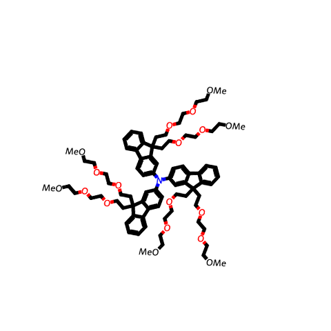 COCCOCCOCCC1(CCOCCOCCOC)c2ccccc2-c2ccc(N(c3ccc4c(c3)C(CCOCCOCCOC)(CCOCCOCCOC)c3ccccc3-4)c3ccc4c(c3)C(CCOCCOCCOC)(CCOCCOCCOC)c3ccccc3-4)cc21